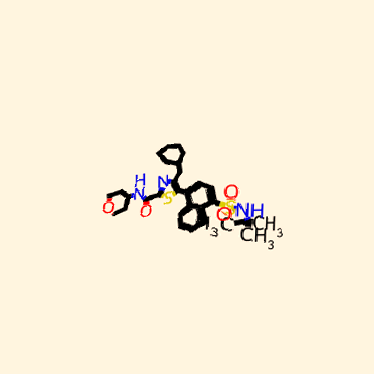 CC(C)(C)NS(=O)(=O)c1ccc(-c2sc(C(=O)NC3CCOCC3)nc2CC2CCCCC2)c2ccccc12